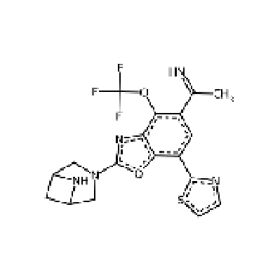 CC(=N)c1cc(-c2nccs2)c2oc(N3CC4CC(C3)N4)nc2c1OC(F)(F)F